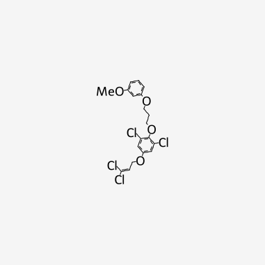 COc1cccc(OCCCOc2c(Cl)cc(OCC=C(Cl)Cl)cc2Cl)c1